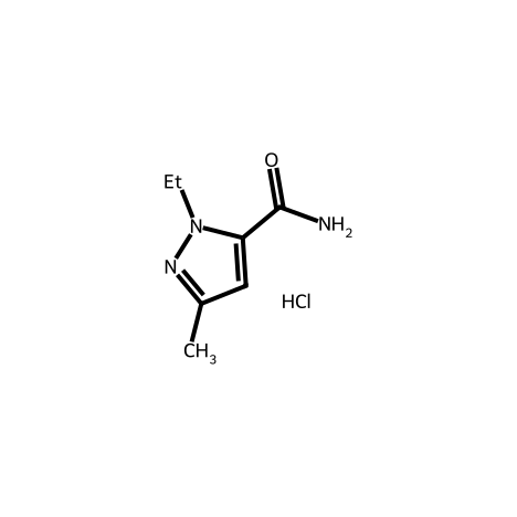 CCn1nc(C)cc1C(N)=O.Cl